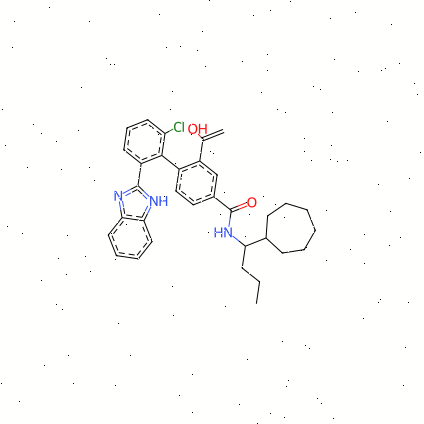 C=C(O)c1cc(C(=O)NC(CCC)C2CCCCCC2)ccc1-c1c(Cl)cccc1-c1nc2ccccc2[nH]1